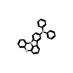 c1ccc(N(c2ccccc2)c2ccc3c(c2)c2cccc4c2n3-c2ccccc2O4)cc1